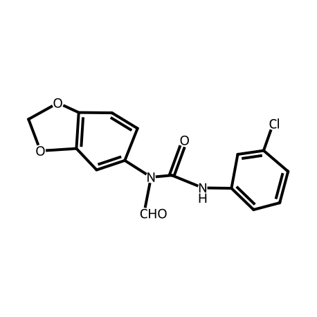 O=CN(C(=O)Nc1cccc(Cl)c1)c1ccc2c(c1)OCO2